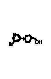 OCC1CCN(c2cncc(Br)c2)CC1